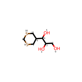 OCC(O)C(O)C1CSCSC1